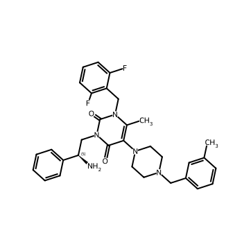 Cc1cccc(CN2CCN(c3c(C)n(Cc4c(F)cccc4F)c(=O)n(C[C@@H](N)c4ccccc4)c3=O)CC2)c1